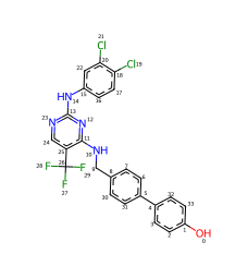 Oc1ccc(-c2ccc(CNc3nc(Nc4ccc(Cl)c(Cl)c4)ncc3C(F)(F)F)cc2)cc1